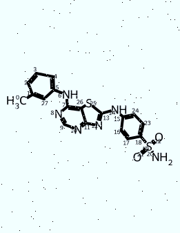 Cc1cccc(Nc2ncnc3nc(Nc4ccc(S(N)(=O)=O)cc4)sc23)c1